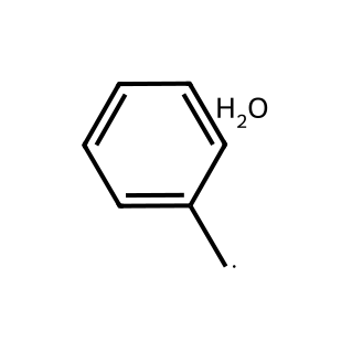 O.[CH2]c1ccccc1